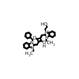 CCN1/C(=C/C2=C(O)C(=C\c3n(CC)c4ccccc4[n+]3CCO)/C2=O)N(Cc2ccccc2)c2ccccc21